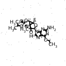 CCOc1nc(N)nc2c1ncn2[C@@H]1O[C@]2(F)C3O[P@@](=O)(OC(C)C)O[C@]32[C@@]1(C)O